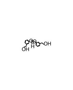 OCCc1cccc(OBOc2cccc(CCO)c2)c1